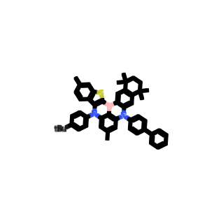 Cc1cc2c3c(c1)N(c1ccc(C(C)(C)C)cc1)c1c(sc4cc(C)ccc14)B3c1cc3c(cc1N2c1ccc(-c2ccccc2)cc1)C(C)(C)CCC3(C)C